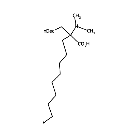 CCCCCCCCCCCC(CCCCCCCCF)(C(=O)O)N(C)C